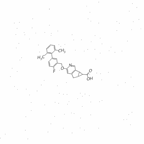 Cc1cccc(C)c1-c1ccc(F)c(COc2cc3c(cn2)C2C(C3)C2C(=O)O)c1